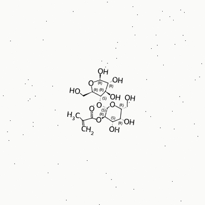 C=C(C)C(=O)O[C@H]1[C@H](O[C@H]2[C@H](O)[C@@H](O)[C@H](O)O[C@@H]2CO)O[C@H](CO)[C@H](O)[C@@H]1O